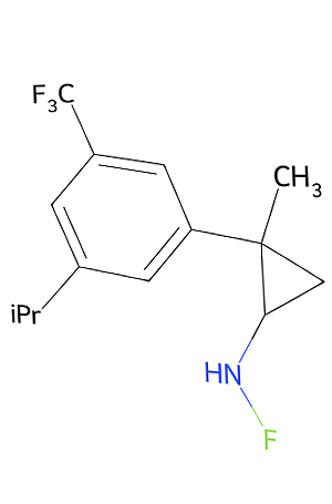 CC(C)c1cc(C(F)(F)F)cc(C2(C)CC2NF)c1